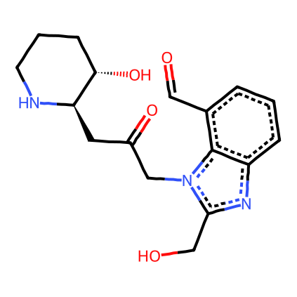 O=Cc1cccc2nc(CO)n(CC(=O)C[C@H]3NCCC[C@@H]3O)c12